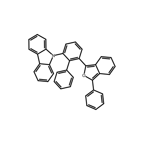 c1ccc(-c2c(-c3oc(-c4ccccc4)c4ccccc34)cccc2-n2c3ccccc3c3ccccc32)cc1